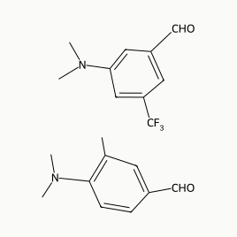 CN(C)c1cc(C=O)cc(C(F)(F)F)c1.Cc1cc(C=O)ccc1N(C)C